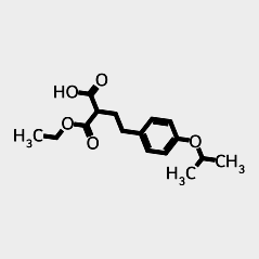 CCOC(=O)C(CCc1ccc(OC(C)C)cc1)C(=O)O